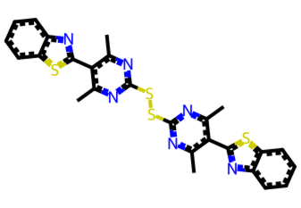 Cc1nc(SSc2nc(C)c(-c3nc4ccccc4s3)c(C)n2)nc(C)c1-c1nc2ccccc2s1